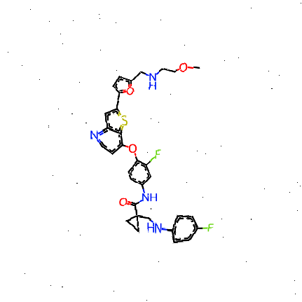 COCCNCc1ccc(-c2cc3nccc(Oc4ccc(NC(=O)C5(CNc6ccc(F)cc6)CC5)cc4F)c3s2)o1